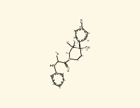 CC(C)C(Nc1ccccc1)C(=O)N1CCC(O)(c2ccc(Cl)cc2)C(C)(C)C1